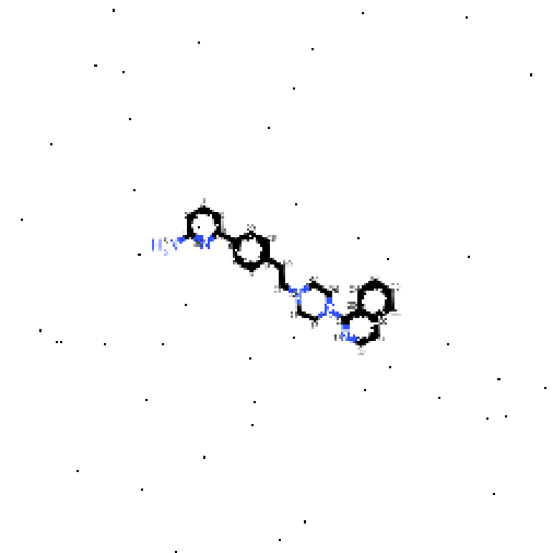 Nc1cccc(-c2ccc(CCN3CCN(c4nccc5ccccc45)CC3)cc2)n1